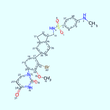 CNc1ccc(S(=O)(=O)NCC2=CCc3cc(-c4ccc(-n5ccc(=O)[nH]c5=O)c(OC)c4Br)ccc32)cc1